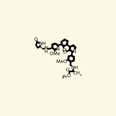 COc1cc(-c2nccc(-c3cccc(-c4ccc(CNC[C@H]5CCC(=O)N5)c(OC)n4)c3Cl)c2Cl)ccc1CN[C@@H](C)C(=O)OC(C)C